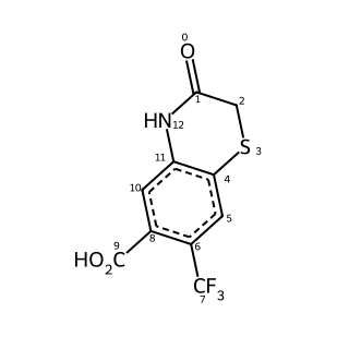 O=C1CSc2cc(C(F)(F)F)c(C(=O)O)cc2N1